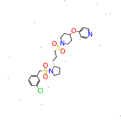 O=S(=O)(CCC[C@@H]1CCCN1S(=O)(=O)Cc1cccc(Cl)c1)N1CCC(Oc2ccncc2)CC1